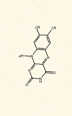 CCCn1c2nc(=O)[nH]c(=O)c-2nc2cc(C#N)c(C#N)cc21